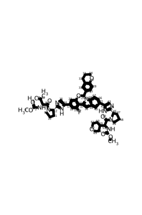 COC(=O)NC(C(=O)N1CCC[C@H]1c1ncc(-c2cc(F)c3c(c2)OC(c2ccc4c(c2)CCCO4)n2c-3cc3cc(-c4cnc([C@@H]5CCCN5C(=O)C(NC(=O)OC)C5CCOCC5)[nH]4)ccc32)[nH]1)C(C)C